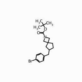 CC(C)(C)OC(=O)N1CC2(CCC(Cc3ccc(Br)cc3)C2)C1